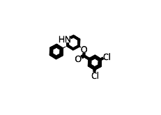 O=C(O[C@H]1CCN[C@@H](c2ccccc2)C1)c1cc(Cl)cc(Cl)c1